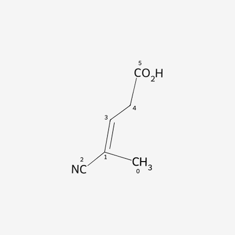 CC(C#N)=CCC(=O)O